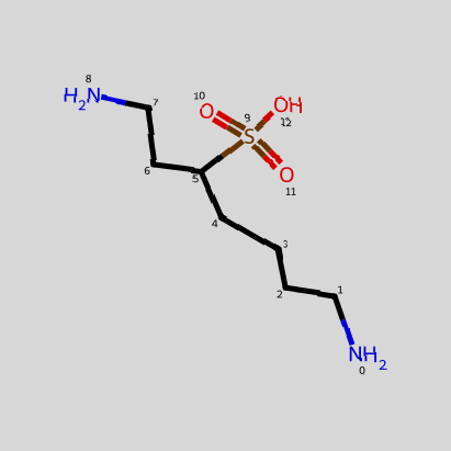 NCCCCC(CCN)S(=O)(=O)O